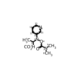 CC(C(=O)O)N(OC(=O)N(C)C)c1cccnc1